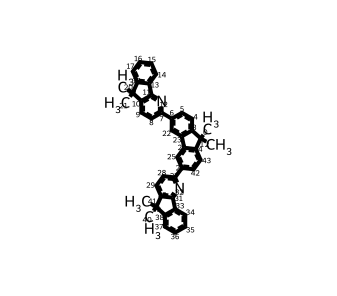 CC1(C)c2ccc(-c3ccc4c(n3)-c3ccccc3C4(C)C)cc2-c2cc(-c3ccc4c(n3)-c3ccccc3C4(C)C)ccc21